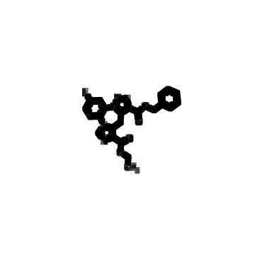 CCOC(=O)c1ncn2c1Cc1c(C(=O)OCc3ccccc3)nnn1-c1cc(F)ccc1-2